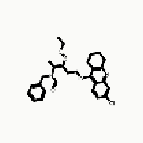 CCSSC(CCNc1c2c(nc3cc(Cl)ccc13)CCCC2)=C(C)N(C=O)Cc1ccccc1